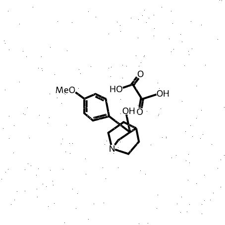 COc1ccc(C2(O)CN3CCC2CC3)cc1.O=C(O)C(=O)O